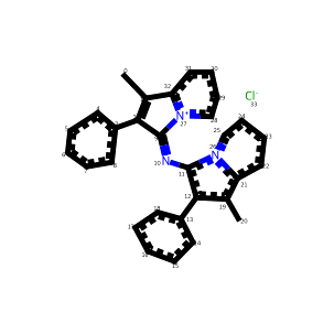 CC1=C(c2ccccc2)C(=Nc2c(-c3ccccc3)c(C)c3ccccn23)[n+]2ccccc21.[Cl-]